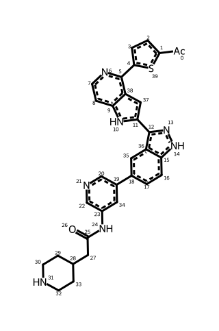 CC(=O)c1ccc(-c2nccc3[nH]c(-c4n[nH]c5ccc(-c6cncc(NC(=O)CC7CCNCC7)c6)cc45)cc23)s1